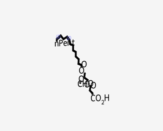 CCCCC/C=C\C/C=C\CCCCCCCC(=O)OCC(COC(=O)CCC(=O)O)OC=O